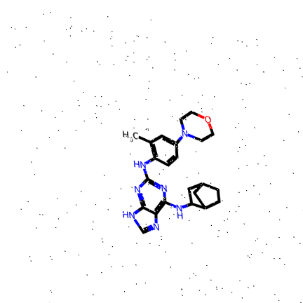 Cc1cc(N2CCOCC2)ccc1Nc1nc(NC2CC3CCC2C3)c2nc[nH]c2n1